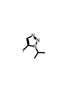 CC(C)n1nncc1I